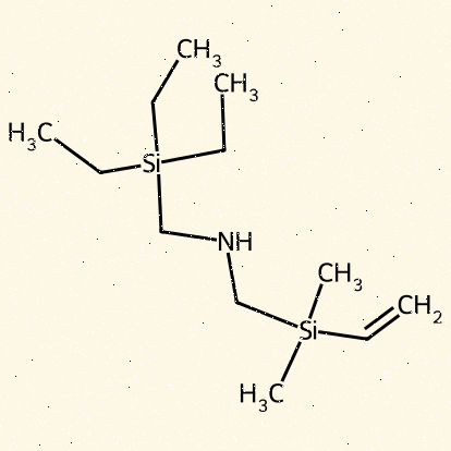 C=C[Si](C)(C)CNC[Si](CC)(CC)CC